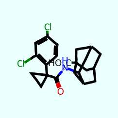 O=C(O)C12CC3CC(C1)C(NC(=O)C1(c4ccc(Cl)cc4Cl)CC1)C(C3)C2